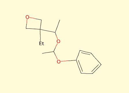 CCC1(C(C)OC(C)Oc2ccccc2)COC1